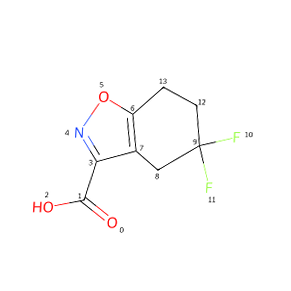 O=C(O)c1noc2c1CC(F)(F)CC2